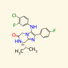 CC(C)[C@@H]1NC(=O)Cn2c1nc(-c1ccc(F)cc1)c2Nc1ccc(Cl)c(F)c1